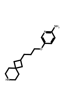 Nc1ccc(OCCCC2CC3(CCNCC3)C2)cn1